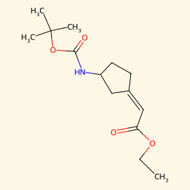 CCOC(=O)/C=C1/CCC(NC(=O)OC(C)(C)C)C1